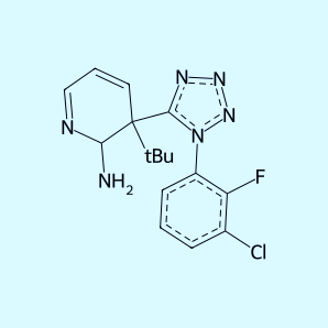 CC(C)(C)C1(c2nnnn2-c2cccc(Cl)c2F)C=CC=NC1N